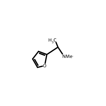 C[N]C(C)c1ccco1